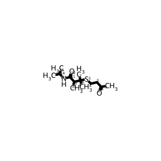 CC(=O)CCSC(C)(C)C(C)C(=O)NC(C)C